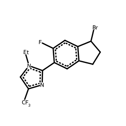 CCn1cc(C(F)(F)F)nc1-c1cc2c(cc1F)C(Br)CC2